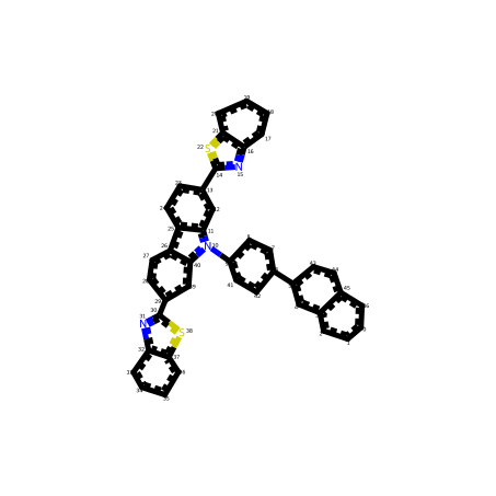 c1ccc2cc(-c3ccc(-n4c5cc(-c6nc7ccccc7s6)ccc5c5ccc(-c6nc7ccccc7s6)cc54)cc3)ccc2c1